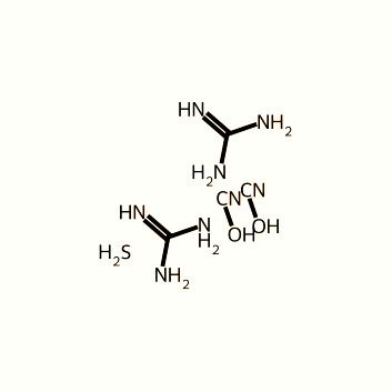 N#CO.N#CO.N=C(N)N.N=C(N)N.S